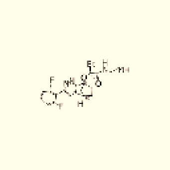 CC[C@H](O[C@]12CC[C@H](C1)c1cc(-c3c(F)cccc3F)nnc12)C(=O)NCCO